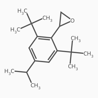 CC(C)c1cc(C(C)(C)C)c(C2CO2)c(C(C)(C)C)c1